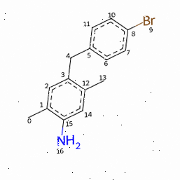 Cc1cc(Cc2ccc(Br)cc2)c(C)cc1N